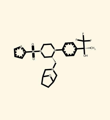 C[C@](O)(c1ccc(N2CCN(S(=O)(=O)c3cccs3)C[C@H]2CN2CC3CCC(C2)O3)cc1)C(F)(F)F